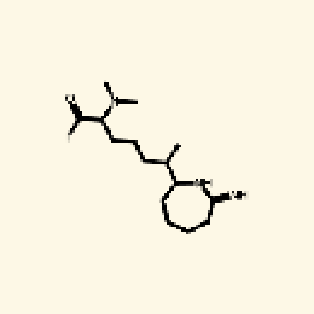 CC(CCCC(C(=O)I)N(C)C)C1CCCCC(=N)N1